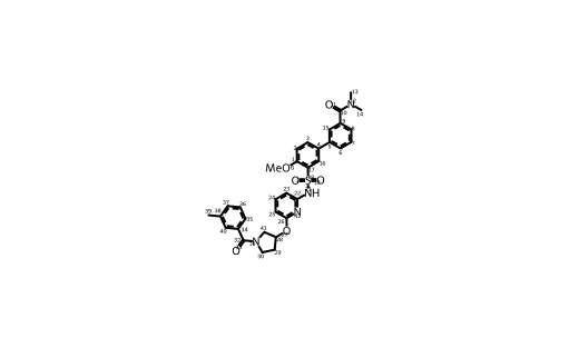 COc1ccc(-c2cccc(C(=O)N(C)C)c2)cc1S(=O)(=O)Nc1cccc(OC2CCN(C(=O)c3cccc(C)c3)C2)n1